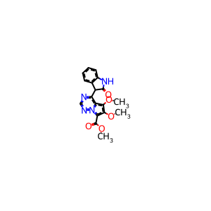 COC(=O)c1c(OC)c(OC)c2c(C3C(=O)Nc4ccccc43)ncnn12